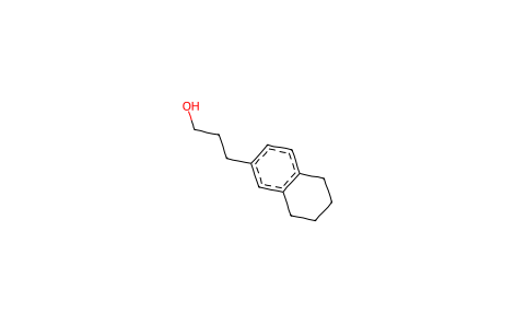 OCCCc1ccc2c(c1)CCCC2